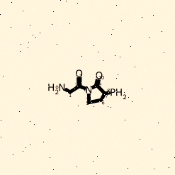 NCC(=O)N1CCC(P)C1=O